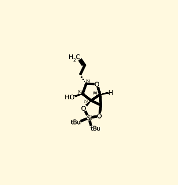 C=CC[C@@H]1O[C@@H]2C3O[Si](C(C)(C)C)(C(C)(C)C)O[C@]32[C@H]1O